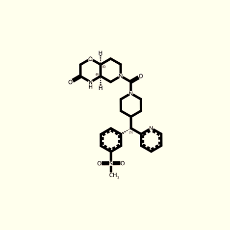 CS(=O)(=O)c1cccc([C@@H](c2ccccn2)C2CCN(C(=O)N3CC[C@@H]4OCC(=O)N[C@@H]4C3)CC2)c1